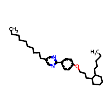 CCCCCCCCCCc1cnc(-c2ccc(OCCCC3CCCCC3CCCCC)cc2)nc1